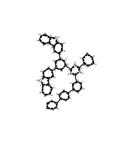 c1ccc(-c2ccc(-c3cccc(-c4nc(-c5ccccc5)nc(-c5cc(-c6ccc7oc8ccccc8c7c6)cc(-c6ccc7oc8ccccc8c7c6)c5)n4)c3)cc2)cc1